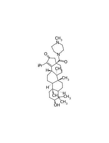 CC(C)C1=C2[C@H]3CC[C@@H]4[C@@]5(C)CC[C@H](O)C(C)(C)[C@@H]5CC[C@@]4(C)[C@]3(C)CC[C@@]2(C(=O)N2CCN(C)CC2)CC1=O